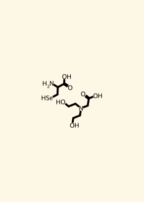 NC(C[SeH])C(=O)O.O=C(O)CN(CCO)CCO